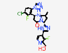 CC1C[C@H](c2ncc(-c3ccnc(CO)c3F)[nH]2)n2c1nc(-c1c(-n3cnnn3)ccc(Cl)c1F)cc2=O